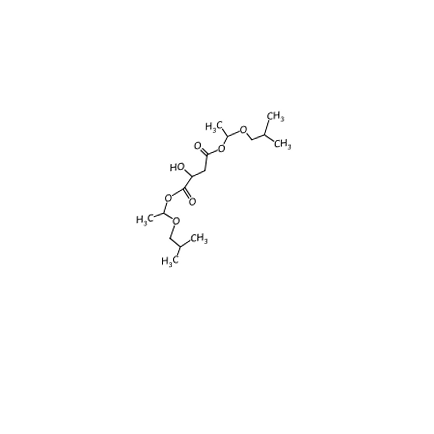 CC(C)COC(C)OC(=O)CC(O)C(=O)OC(C)OCC(C)C